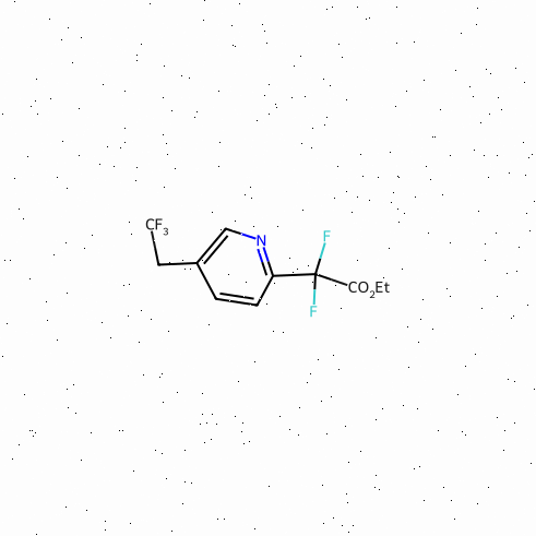 CCOC(=O)C(F)(F)c1ccc(CC(F)(F)F)cn1